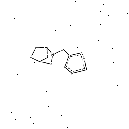 c1cncc(CN2CC3CCC2C3)c1